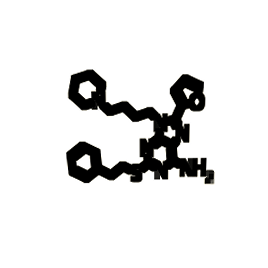 Nc1nc(SCCc2ccccc2)nc2c1nc(-c1ccco1)n2CCCCN1CCCCC1